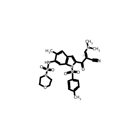 Cc1ccc(S(=O)(=O)n2c(C(=O)/C(C#N)=C/N(C)C)cc3cc(C)c(NS(=O)(=O)N4CCOCC4)cc32)cc1